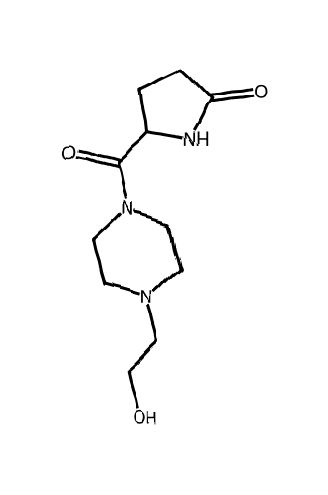 O=C1CCC(C(=O)N2CCN(CCO)CC2)N1